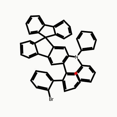 Brc1ccccc1-c1ccccc1-c1cc2c(cc1N(c1ccccc1)c1ccccc1)C1(c3ccccc3-c3ccccc31)c1ccccc1-2